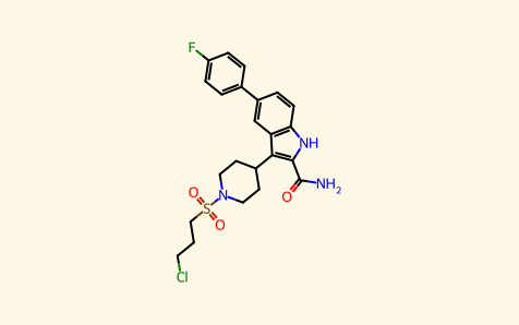 NC(=O)c1[nH]c2ccc(-c3ccc(F)cc3)cc2c1C1CCN(S(=O)(=O)CCCCl)CC1